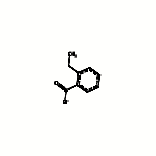 CCc1c[c]ccc1[N+](=O)[O-]